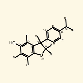 Cc1c(C)c2c(c(C)c1O)C(C)(c1ccc(C(C)C)cc1)C(C)(C)O2